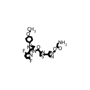 CCOC1CCC(n2cc(NC(=O)c3csc(-c4cnn(COC(=O)CN)c4)n3)c(-c3nc(F)ccc3F)n2)CC1